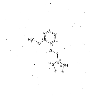 COc1ccccc1SC[C@H]1NCCS1